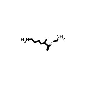 C=C(CCCN)C(C)CCCCN